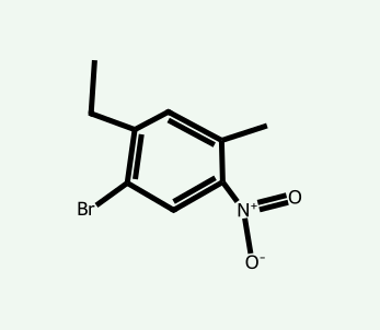 CCc1cc(C)c([N+](=O)[O-])cc1Br